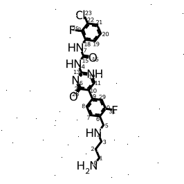 NCCCNCc1ccc(-c2c[nH]c(NC(=O)Nc3cccc(Cl)c3F)nc2=O)cc1F